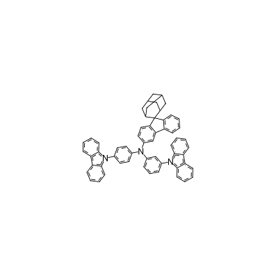 c1cc(N(c2ccc(-n3c4ccccc4c4ccccc43)cc2)c2ccc3c(c2)-c2ccccc2C32C3CC4CC(C3)CC2C4)cc(-n2c3ccccc3c3ccccc32)c1